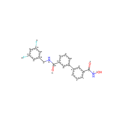 O=C(NO)c1cccc(-c2cccc(C(=O)NCc3cc(F)cc(F)c3)c2)c1